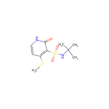 CSc1cc[nH]c(=O)c1S(=O)(=O)NC(C)(C)C